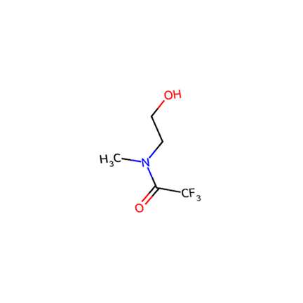 CN(CCO)C(=O)C(F)(F)F